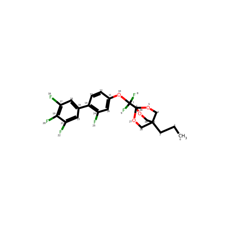 CCCC12COC(C(F)(F)Oc3ccc(-c4cc(F)c(F)c(F)c4)c(F)c3)(OC1)OC2